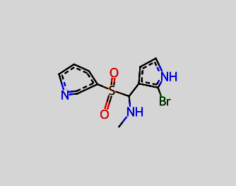 CNC(c1cc[nH]c1Br)S(=O)(=O)c1cccnc1